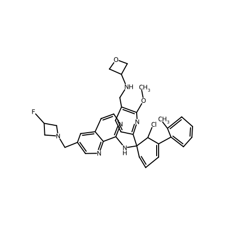 COc1nc(C2(Nc3nccc4cc(CN5CC(F)C5)cnc34)C=CC=C(c3ccccc3C)C2Cl)ccc1CNC1COC1